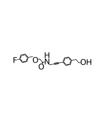 O=C(COCc1ccc(F)cc1)NCC#Cc1ccc(CCO)cc1